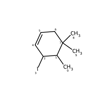 CC1C(I)C=CCC1(C)C